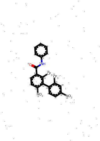 O=C(Nc1ccccc1)c1ccc([N+](=O)[O-])c(-c2ccc([N+](=O)[O-])cc2C(F)(F)F)c1C(F)(F)F